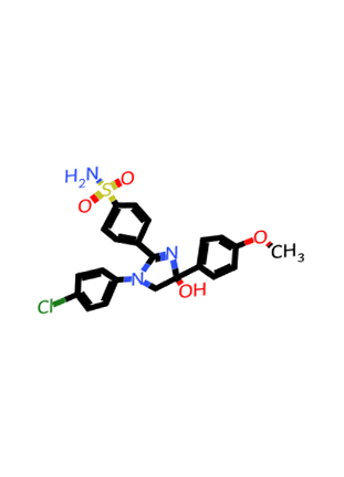 COc1ccc(C2(O)CN(c3ccc(Cl)cc3)C(c3ccc(S(N)(=O)=O)cc3)=N2)cc1